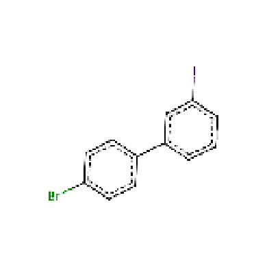 Brc1ccc(-c2cccc(I)c2)cc1